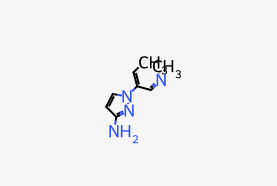 C/C=C(\C=N/C)n1ccc(N)n1